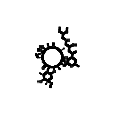 CC[C@H]1OC(=O)[C@H](C)[C@@H](O[C@H]2C[C@@](C)(OC)[C@@H](O)[C@H](C)O2)[C@H](C)[C@@H](O[C@@H]2O[C@H](C)CC(N(C)CC(O)CNCC(OC)OC)[C@H]2O)[C@](C)(O)C[C@@H](C)CN(C)[C@H](C)[C@@H](O)[C@]1(C)O